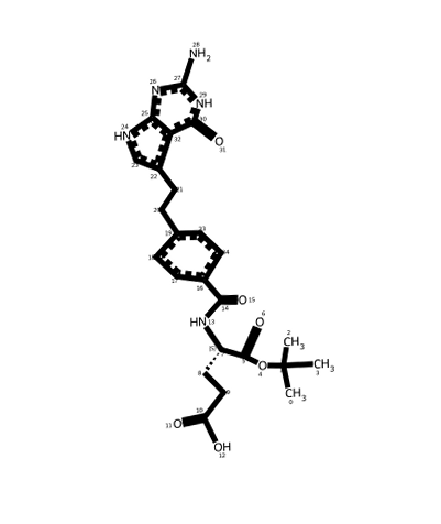 CC(C)(C)OC(=O)[C@H](CCC(=O)O)NC(=O)c1ccc(CCc2c[nH]c3nc(N)[nH]c(=O)c23)cc1